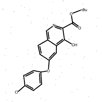 CCCCOC(=O)c1ncc2ccc(Oc3ccc(Cl)cc3)cc2c1O